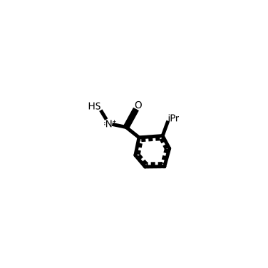 CC(C)c1ccccc1C(=O)[N+]S